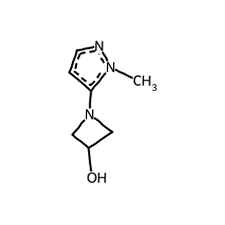 Cn1nccc1N1CC(O)C1